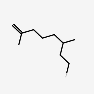 C=C(C)CCCC(C)CCI